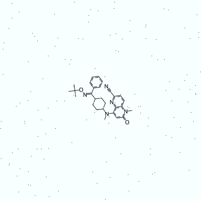 CN(c1cc(=O)n(C)c2ccc(C#N)nc12)C1CCC(/C(=N/OC(C)(C)C)c2ccccc2)CC1